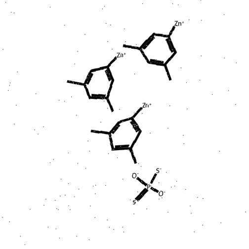 Cc1cc(C)c[c]([Zn+])c1.Cc1cc(C)c[c]([Zn+])c1.Cc1cc(C)c[c]([Zn+])c1.[O-]P([O-])(=S)[S-]